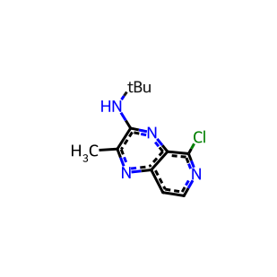 Cc1nc2ccnc(Cl)c2nc1NC(C)(C)C